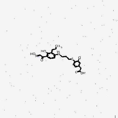 CCCc1c(NCCCSc2ccc(CC(=O)O)cc2Cl)ccc(C(=O)/C=N/O)c1O